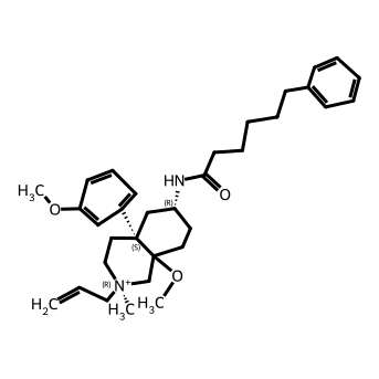 C=CC[N@@+]1(C)CC[C@@]2(c3cccc(OC)c3)C[C@H](NC(=O)CCCCCc3ccccc3)CCC2(OC)C1